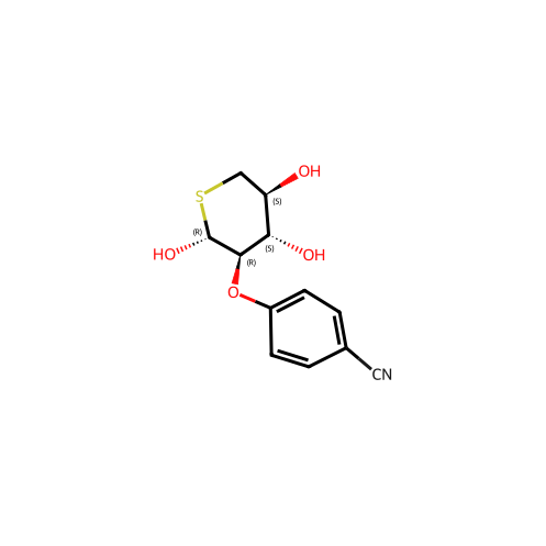 N#Cc1ccc(O[C@@H]2[C@@H](O)[C@H](O)CS[C@H]2O)cc1